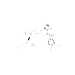 Cn1cnc(C2CC3CC(O)(C#CC4(O)CC(C(F)F)C4)CC3C2)c1C(=O)Nc1ccc(F)c(Cl)c1